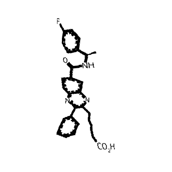 C[C@@H](NC(=O)c1ccc2nc(-c3ccccc3)c(CCCCC(=O)O)nc2c1)c1ccc(F)cc1